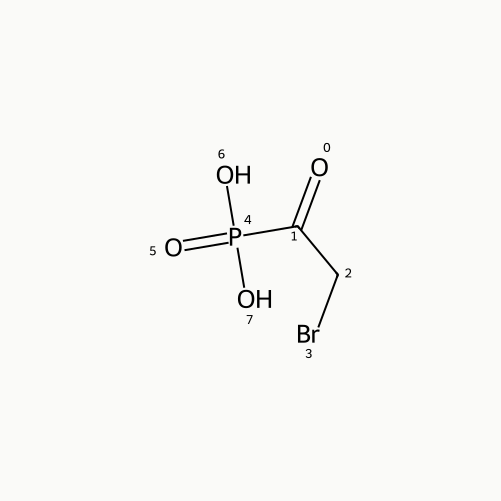 O=C(CBr)P(=O)(O)O